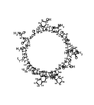 CCCC[C@H]1C(=O)N[C@@H](CN)C(=O)N[C@H](C(=O)NCC(N)=O)CSCC(=O)N[C@@H](Cc2ccc(O)cc2)C(=O)N(C)[C@@H](C)C(=O)N[C@@H](CC(N)=O)C(=O)N2CCC[C@H]2C(=O)N[C@@H](Cc2cnc[nH]2)C(=O)N[C@@H](CCC(N)=O)C(=O)N2C[C@H](O)C[C@H]2C(=O)N[C@@H](Cc2c[nH]c3ccccc23)C(=O)N[C@@H](CO)C(=O)N[C@@H](Cc2cccc3ccccc23)c2nnnn2[C@@H](CCCC)C(=O)N1C